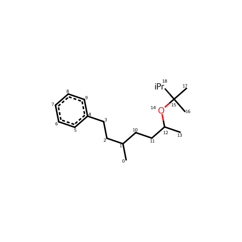 CC(CCc1ccccc1)CCC(C)OC(C)(C)C(C)C